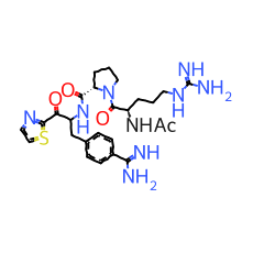 CC(=O)N[C@H](CCCNC(=N)N)C(=O)N1CCC[C@H]1C(=O)NC(Cc1ccc(C(=N)N)cc1)C(=O)c1nccs1